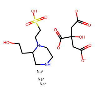 O=C([O-])CC(O)(CC(=O)[O-])C(=O)[O-].O=S(=O)(O)CCN1CCNCC1CCO.[Na+].[Na+].[Na+]